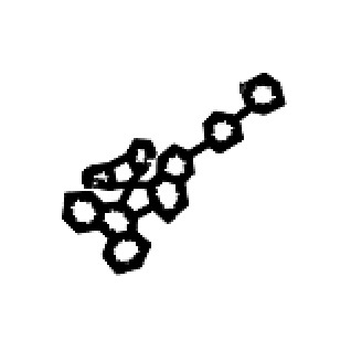 c1ccc(-c2ccc(-c3ccc4c5c(ccc4c3)-c3c(c4ccccc4c4ccccc34)C53c4ccccc4-c4ccccc43)cc2)nc1